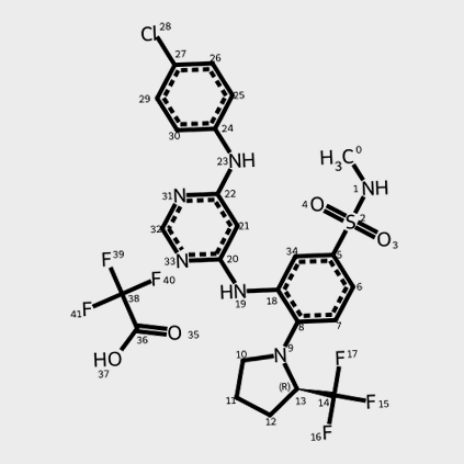 CNS(=O)(=O)c1ccc(N2CCC[C@@H]2C(F)(F)F)c(Nc2cc(Nc3ccc(Cl)cc3)ncn2)c1.O=C(O)C(F)(F)F